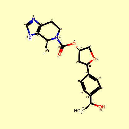 CC(C)[C@H]1c2[nH]cnc2CCN1C(=O)O[C@@H]1COC(c2ccc([C@@H](O)C(=O)O)cc2)C1